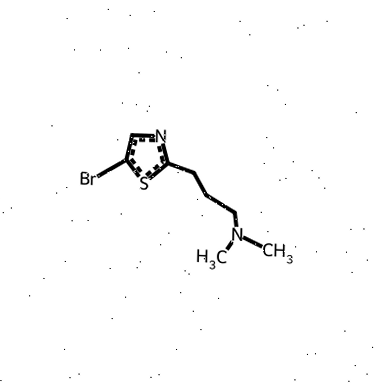 CN(C)CCCc1ncc(Br)s1